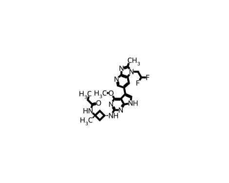 CCC(=O)N[C@]1(C)C[C@H](Nc2nc(OC)c3c(-c4cnc5nc(C)n(CC(F)F)c5c4)c[nH]c3n2)C1